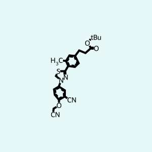 Cc1cc(CCC(=O)OC(C)(C)C)ccc1C1=NN(c2ccc(OCC#N)c(C#N)c2)CS1